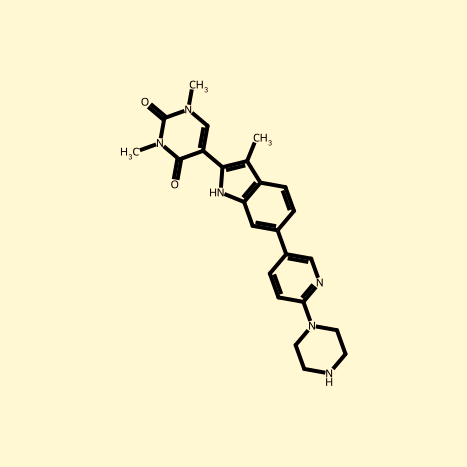 Cc1c(-c2cn(C)c(=O)n(C)c2=O)[nH]c2cc(-c3ccc(N4CCNCC4)nc3)ccc12